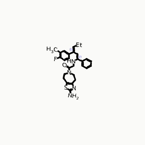 CC/C=C(\C=C(/NCC(=O)N1CCc2nc(N)sc2CC1)c1ccccc1)c1ccc(F)c(C)c1